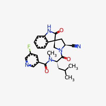 CC(C)C[C@@H](C(=O)N1C[C@]2(C[C@H]1C#N)C(=O)Nc1ccccc12)N(C)C(=O)c1cncc(F)c1